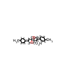 Cc1ccc(C2=CC(C(=O)O)(C3(C(=O)O)C=C(c4ccc(C)cc4)CO3)OC2)cc1